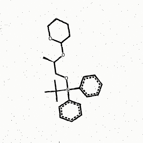 C[C@H](CO[Si](c1ccccc1)(c1ccccc1)C(C)(C)C)OC1CCCCO1